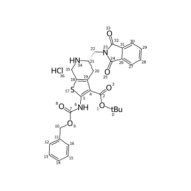 CC(C)(C)OC(=O)c1c(NC(=O)OCc2ccccc2)sc2c1C[C@@H](CN1C(=O)c3ccccc3C1=O)NC2.Cl